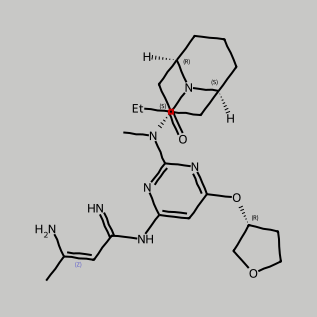 CCC(=O)N1[C@@H]2CCC[C@H]1C[C@H](N(C)c1nc(NC(=N)/C=C(/C)N)cc(O[C@@H]3CCOC3)n1)C2